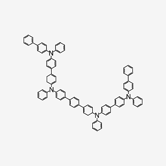 C1=CC(N(c2ccccc2)c2ccc(-c3ccc(N(c4ccccc4)c4ccc(-c5ccccc5)cc4)cc3)cc2)CC=C1c1ccc(-c2ccc(N(C3=CC=C(c4ccc(N(c5ccccc5)c5ccc(-c6ccccc6)cc5)cc4)CC3)c3ccccc3)cc2)cc1